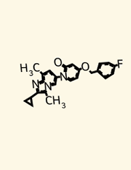 Cc1cc(-n2ccc(OCc3ccc(F)cc3)cc2=O)cn2c(C)c(C3CC3)nc12